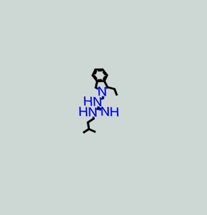 CCC1c2ccccc2CN1CNC(=N)NCCC(C)C